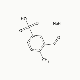 Cc1ccc(S(=O)(=O)O)cc1C=O.[NaH]